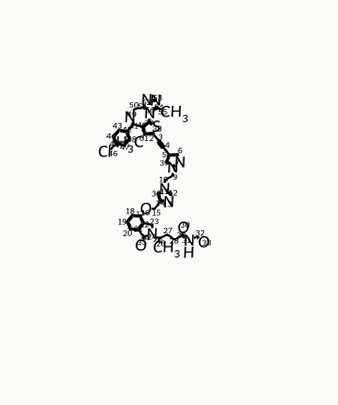 Cc1c(C#Cc2cnn(CCn3cnc(COc4cccc5c4CN(C(C)CCC(=O)NC=O)C5=O)c3)c2)sc2c1C(c1ccc(Cl)cc1)=NCc1nnc(C)n1-2